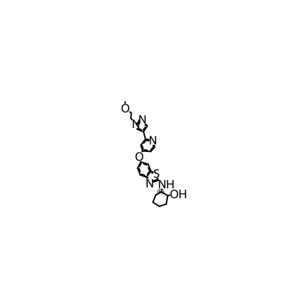 COCCn1cc(-c2cc(Oc3ccc4nc(N[C@@H]5CCCCC5O)sc4c3)ccn2)cn1